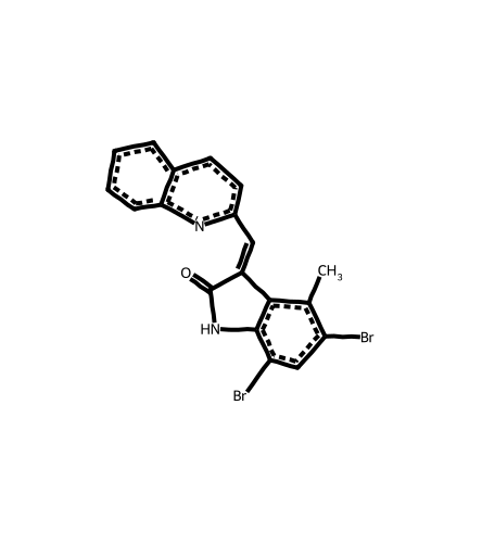 Cc1c(Br)cc(Br)c2c1C(=Cc1ccc3ccccc3n1)C(=O)N2